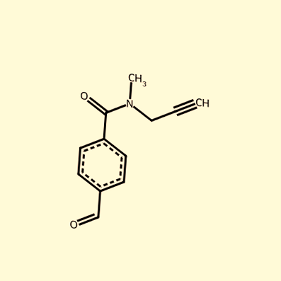 C#CCN(C)C(=O)c1ccc(C=O)cc1